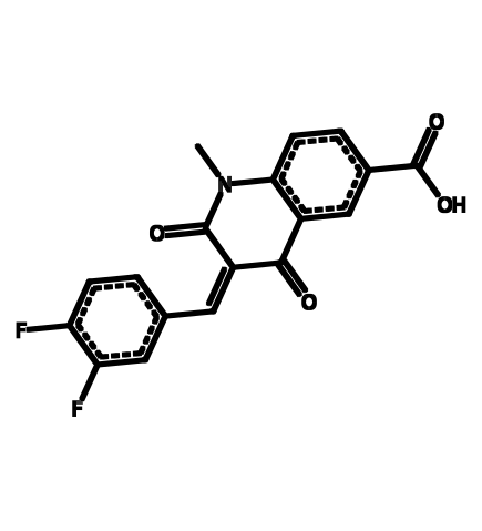 CN1C(=O)/C(=C\c2ccc(F)c(F)c2)C(=O)c2cc(C(=O)O)ccc21